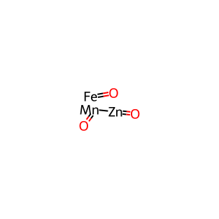 [O]=[Fe].[O]=[Mn][Zn]=[O]